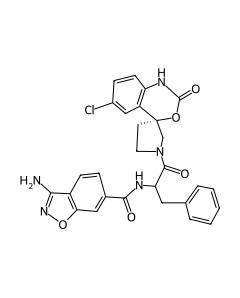 Nc1noc2cc(C(=O)NC(Cc3ccccc3)C(=O)N3CC[C@@]4(C3)OC(=O)Nc3ccc(Cl)cc34)ccc12